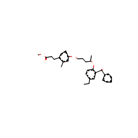 CCc1ccc(OC(C)CCCOc2ccc(CCC(=O)OC)c(C)c2)c(C(=O)c2ccccc2)c1